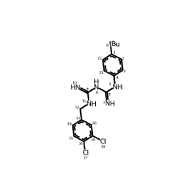 CC(C)(C)c1ccc(NC(=N)NC(=N)NCc2ccc(Cl)c(Cl)c2)cc1